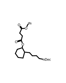 CCCCCCCCCCCCCCC1CCCCC1OC(=O)CCC(=O)OC(C)C